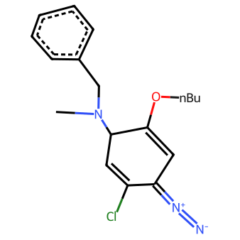 CCCCOC1=CC(=[N+]=[N-])C(Cl)=CC1N(C)Cc1ccccc1